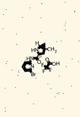 C[C@@]12C[C@@H](C(=O)Nc3cccc(Br)n3)N[C@@H]1C2.O=C(O)C(F)(F)F